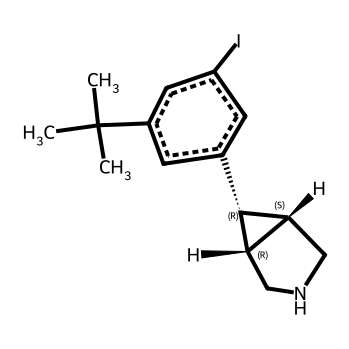 CC(C)(C)c1cc(I)cc([C@@H]2[C@@H]3CNC[C@@H]32)c1